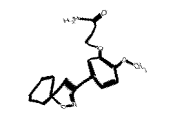 COc1ccc(C2=NOC3(CCCC3)C2)cc1OCC(N)=O